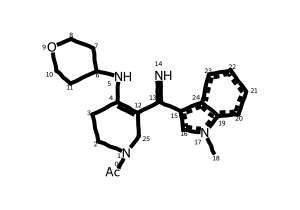 CC(=O)N1CCC(NC2CCOCC2)=C(C(=N)c2cn(C)c3ccccc23)C1